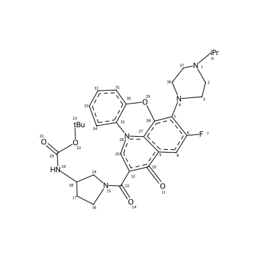 CC(C)N1CCN(c2c(F)cc3c(=O)c(C(=O)N4CCC(NC(=O)OC(C)(C)C)C4)cn4c3c2Oc2ccccc2-4)CC1